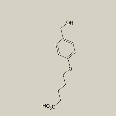 O=C(O)CCCCOc1ccc(CO)cc1